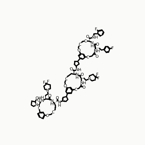 O=C1CCc2cc(cc(C3CCC(NC(=O)[C@@H]4CCCCOc5cccc(c5)C[C@H](N5CCCC5O)C(=O)N[C@@H](CCN5CCC(F)(F)CC5)C(=O)N4)C3)c2)OCCCC[C@@H](C(=O)NC2CCC(c3cc4cc(c3)OCCCC[C@H](C(=O)NCc3ccccc3F)NC(=O)[C@H](CCc3ccc(F)cc3)NC(=O)CC4)C2)NC(=O)[C@H](CCN2CCC(F)(F)CC2)N1